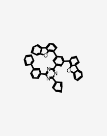 c1ccc(-c2cccc(-c3nc(-c4ccccc4)nc(-c4cc(-c5cccc6c5oc5ccccc56)cc(-c5cccc6c5oc5ccccc56)c4)n3)c2)cc1